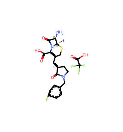 N[C@@H]1C(=O)N2C(C(=O)O)=C(/C=C3\CCN(Cc4ccc(F)cc4)C3=O)CS[C@H]12.O=C(O)C(F)(F)F